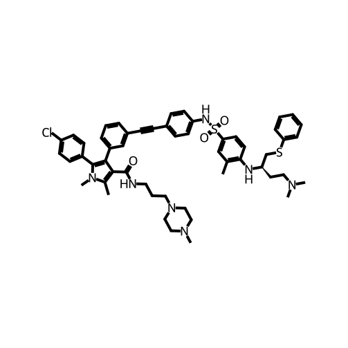 Cc1cc(S(=O)(=O)Nc2ccc(C#Cc3cccc(-c4c(C(=O)NCCCN5CCN(C)CC5)c(C)n(C)c4-c4ccc(Cl)cc4)c3)cc2)ccc1N[C@H](CCN(C)C)CSc1ccccc1